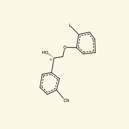 N#Cc1cccc([C@H](O)COc2ccccc2I)c1